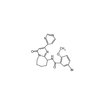 COc1ccc(Br)cc1C(=O)NC1CCCCn2c1nc(-c1ccncn1)cc2=O